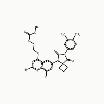 CCc1nc(OCCOC(=O)OC(C)(C)C)c2cc(N3C(=S)N(c4cnc(C)c(C(F)(F)F)c4)C(=O)C34CCC4)cc(F)c2n1